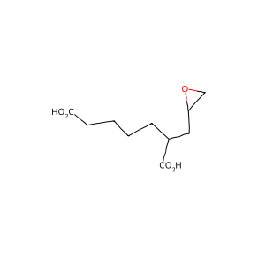 O=C(O)CCCCC(CC1CO1)C(=O)O